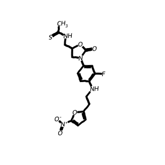 CC(=S)NCC1CN(c2ccc(NCCc3ccc([N+](=O)[O-])o3)c(F)c2)C(=O)O1